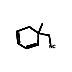 [C-]#[N+]CC1(C)C=CC=CC1